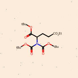 CCOC(=O)CCC(C(=O)OC(C)(C)C)N(C(=O)OC(C)(C)C)C(=O)OC(C)(C)C